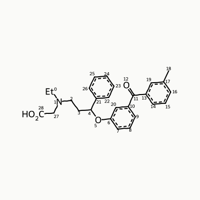 CCN(CCC(Oc1cccc(C(=O)c2cccc(C)c2)c1)c1ccccc1)CC(=O)O